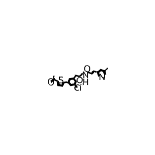 CC(=O)c1ccc(-c2cc(Cl)c3c(c2)CC(CNC(=O)C=Cc2cncc(C)c2)O3)s1